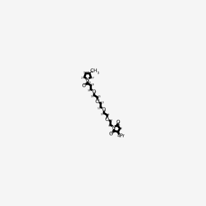 CC(C)C1CC(=O)N(CCOCCOCCOCCOCCC(=O)N2CC[C@H](C)C2)C1=O